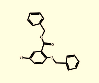 O=C(OCc1ccccc1)c1cc(Cl)ccc1OCc1ccccc1